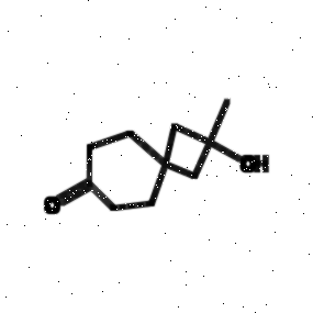 CC1(O)CC2(CCC(=O)CC2)C1